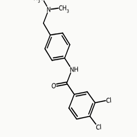 CN(C)Cc1ccc(NC(=O)c2ccc(Cl)c(Cl)c2)cc1